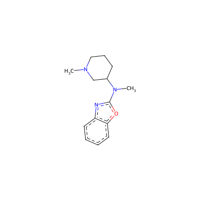 CN1CCCC(N(C)c2nc3ccccc3o2)C1